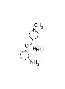 CN1CCC(COc2cccc(N)c2)CC1.Cl.Cl